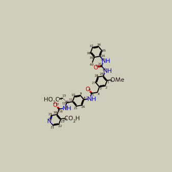 COc1cc(CC(=O)Nc2ccc([C@@H](CC(=O)O)NC(=O)c3cnccc3C(=O)O)cc2)ccc1NC(=O)Nc1ccccc1C